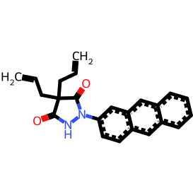 C=CCC1(CC=C)C(=O)NN(c2ccc3cc4ccccc4cc3c2)C1=O